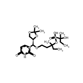 CCC(C)(CCOC([C@H]1COC(C)(C)O1)n1ccc(=O)[nH]c1=O)OP(=O)(O)C(C)(O)CC